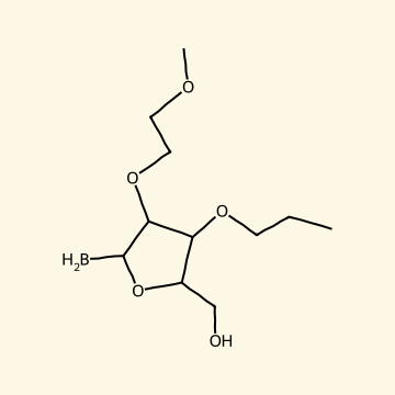 BC1OC(CO)C(OCCC)C1OCCOC